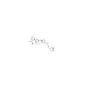 Cc1ccc(CCNC(=O)c2ccc(Nc3ncc4c(n3)-c3ccccc3N(C)C(=O)C4)cc2)cc1C